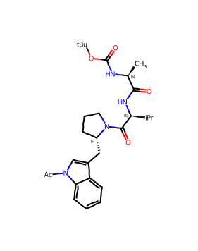 CC(=O)n1cc(C[C@@H]2CCCN2C(=O)[C@@H](NC(=O)[C@H](C)NC(=O)OC(C)(C)C)C(C)C)c2ccccc21